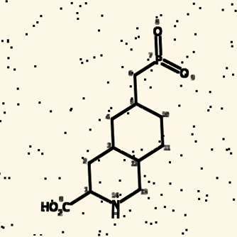 O=C(O)C1CC2CC(CP(=O)=O)CCC2CN1